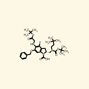 CC(C)(C)CCN(C[C@H]1Cc2c(cc(OCc3ccccc3)c(NCC(=O)OC(C)(C)C)c2F)N1C(=O)O)C(=O)OC(C)(C)C